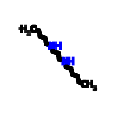 [CH2]CCCCNCCCNCCCCCC